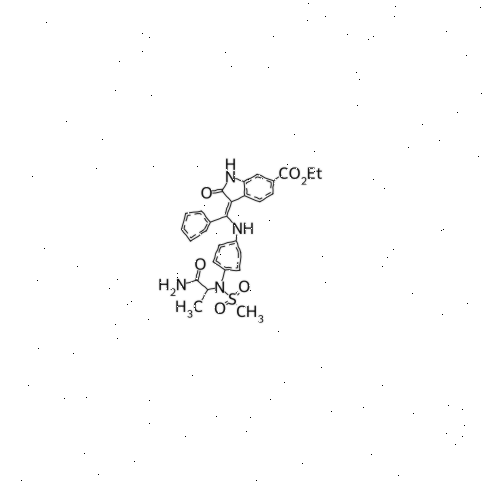 CCOC(=O)c1ccc2c(c1)NC(=O)C2=C(Nc1ccc(N(C(C)C(N)=O)S(C)(=O)=O)cc1)c1ccccc1